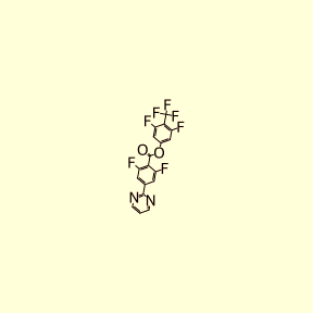 O=C(Oc1cc(F)c(C(F)(F)F)c(F)c1)c1c(F)cc(-c2ncccn2)cc1F